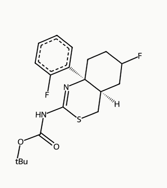 CC(C)(C)OC(=O)NC1=N[C@@]2(c3ccccc3F)CCC(F)C[C@H]2CS1